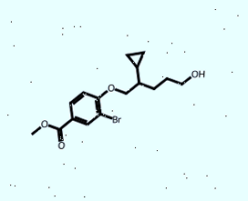 COC(=O)c1ccc(OCC(CCCO)C2CC2)c(Br)c1